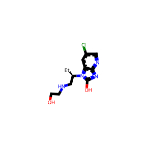 CC[C@H](CNCCO)n1c(O)nc2ncc(Cl)cc21